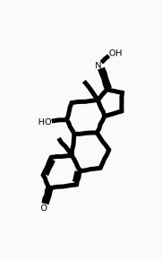 CC12C=CC(=O)C=C1CCC1C2C(O)CC2(C)C(=NO)CCC12